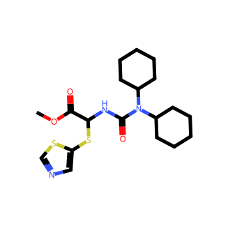 COC(=O)C(NC(=O)N(C1CCCCC1)C1CCCCC1)Sc1cncs1